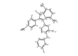 C#Cc1cc(C)c(-c2c(-c3ccc(Oc4cccc(C)n4)c(F)c3)c3c(N)ncc(C#N)c3n2C)cn1